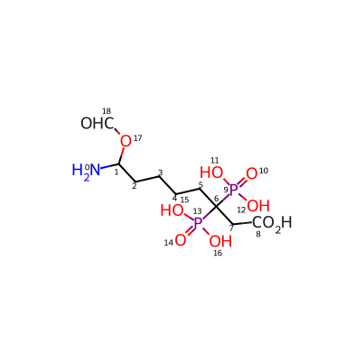 NC(CCCCC(CC(=O)O)(P(=O)(O)O)P(=O)(O)O)OC=O